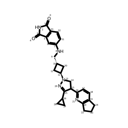 O=C1NC(=O)c2cc(NC[C@H]3C[C@H](N4CC(c5ccc6c(n5)CCC6)C(C5CC5)=N4)C3)ccc21